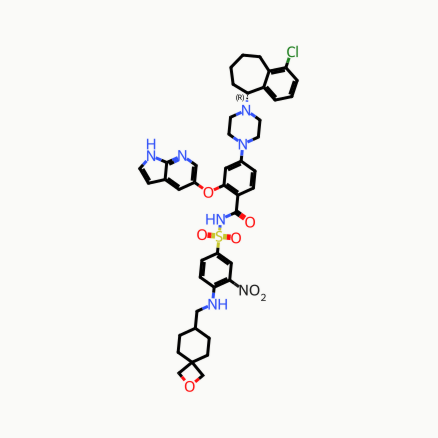 O=C(NS(=O)(=O)c1ccc(NCC2CCC3(CC2)COC3)c([N+](=O)[O-])c1)c1ccc(N2CCN([C@@H]3CCCCc4c(Cl)cccc43)CC2)cc1Oc1cnc2[nH]ccc2c1